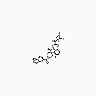 Cc1cccc2c1C1(CCN(C(=O)c3ccc4[nH]ncc4c3)CC1)C(=O)N2CC(=O)NC1(C)CNC1=O